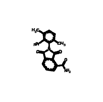 CCCc1c(C)ccc(C)c1N1C(=O)c2cccc(C(N)=O)c2C1=O